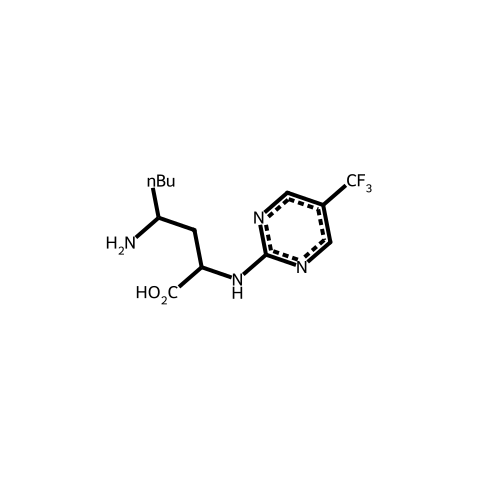 CCCCC(N)CC(Nc1ncc(C(F)(F)F)cn1)C(=O)O